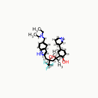 CCN(CC)Cc1ccc2[nH]c(CC(O)(CC(C)(C)c3cc(-c4cccnc4)ccc3O)C(F)(F)F)cc2c1